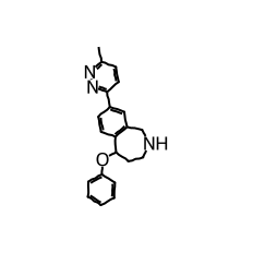 Cc1ccc(-c2ccc3c(c2)CNCCC3Oc2ccccc2)nn1